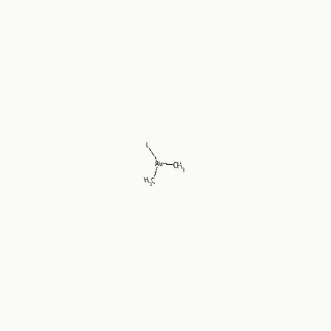 [CH3][Au]([CH3])[I]